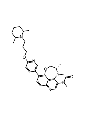 CC1CCCC(C)N1CCCOc1ccc(-c2ccc3ncc(N(C)C=O)c4c3c2OC[C@H](C)N4C)cn1